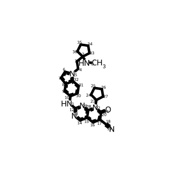 CNC1(CCn2ccc3cc(Nc4ncc5cc(C#N)c(=O)n(C6CCCC6)c5n4)ccc32)CCCC1